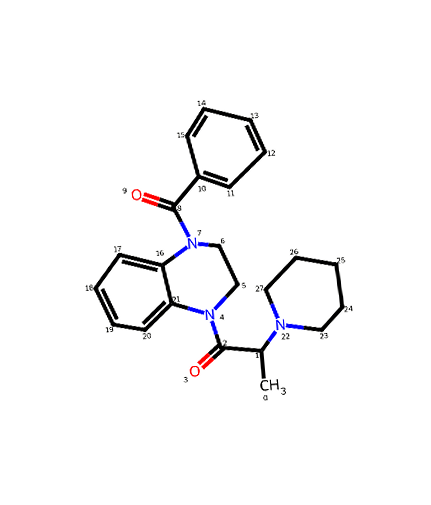 CC(C(=O)N1CCN(C(=O)c2ccccc2)c2ccccc21)N1CCCCC1